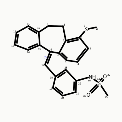 CSc1cccc2c1CCc1ccccc1/C2=C/c1cccc(NS(C)(=O)=O)c1